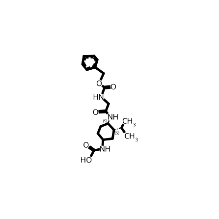 CC(C)[C@@H]1CC(NC(=O)O)CC[C@@H]1NC(=O)CNC(=O)OCc1ccccc1